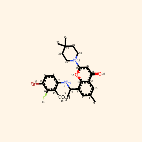 Cc1cc(C(C)Nc2ccc(Br)c(F)c2C(=O)O)c2oc(N3CCC(C)(C)CC3)cc(=O)c2c1